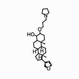 C[C@]12CCC(OCCCN3CCCC3)C(O)C1CC[C@@H]1[C@H]2CC[C@]2(C)C(c3ccoc3)CC[C@@H]12